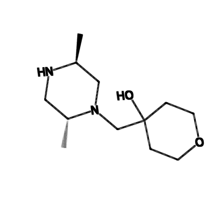 C[C@@H]1CN[C@@H](C)CN1CC1(O)CCOCC1